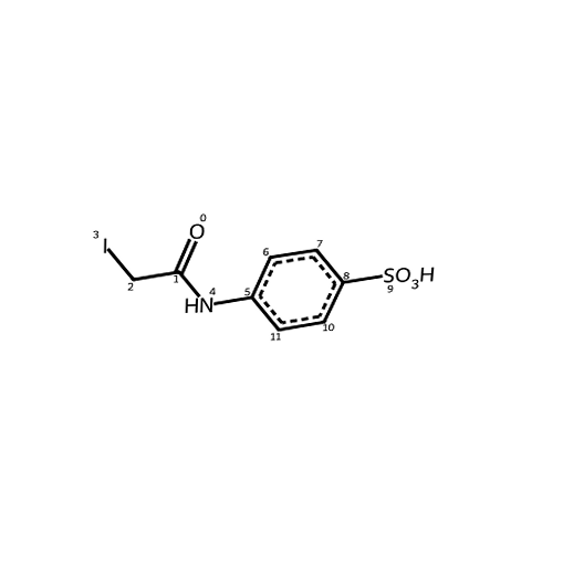 O=C(CI)Nc1ccc(S(=O)(=O)O)cc1